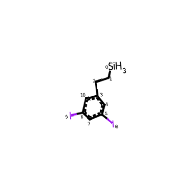 [SiH3]CCc1cc(I)cc(I)c1